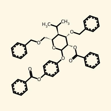 CC(C)[C@H]1[C@H](OCc2ccccc2)[C@H](OC(=O)c2ccccc2)C(Oc2ccc(OC(=O)c3ccccc3)cc2)O[C@@H]1COCc1ccccc1